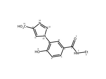 CCNC(=O)c1ccc(O)c(-n2cc(C(=O)O)nn2)c1